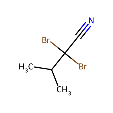 CC(C)C(Br)(Br)C#N